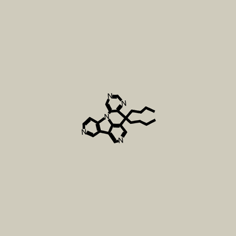 CCCCC1(CCCC)c2ncncc2-n2c3ccncc3c3cncc1c32